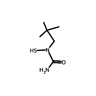 CC(C)(C)CN(S)C(N)=O